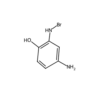 Nc1ccc(O)c(NBr)c1